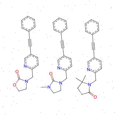 CC1(C)CCC(=O)N1Cc1ccc(C#Cc2ccccc2)cn1.CN1CCN(Cc2ccc(C#Cc3ccccc3)cn2)C1=O.O=C1OCCN1Cc1ccc(C#Cc2ccccc2)cn1